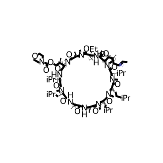 C/C=C/C[C@@H](C)[C@@H](O)[C@H]1C(=O)N[C@@H](CC)C(=O)N(C)[C@H](C)C(=O)N(C)[C@@H]([C@H](C)COC(=O)N2CCOCC2)C(=O)N[C@@H](C(C)C)C(=O)N(C)[C@@H](CC(C)C)C(=O)N[C@@H](C)C(=O)N[C@H](C)C(=O)N(C)[C@@H](CC(C)C)C(=O)N(C)[C@@H](CCC(C)C)C(=O)N(C)[C@@H](C(C)C)C(=O)N1C